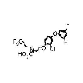 O=C(O)N(CCCC(F)(F)F)CCOc1ccc(Oc2cc(F)cc(F)c2)cc1Cl